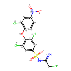 N=C(CCl)NS(=O)(=O)c1cc(Cl)c(Oc2ccc([N+](=O)[O-])cc2Cl)c(Cl)c1